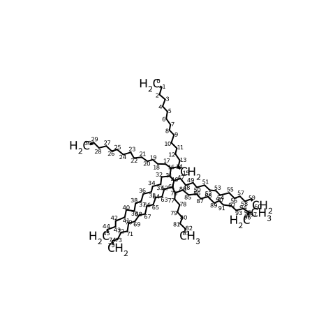 C=CCCCCCCCCCCCCC(=C)C(CCCCCCCCCCCCC=C)C(CCCCCCCCCCCCC=C)C(CCCCCCCCCCCCC=C)C(CCCCCCCCCCCCC=C)C(CCCCCCC)CCCCCCCCCCCC(=C)C